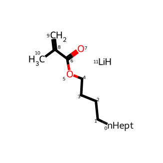 [CH2]CCCCCCCCCCOC(=O)C(=C)C.[LiH]